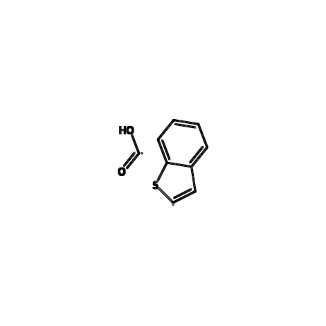 O=[C]O.[c]1cc2ccccc2s1